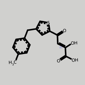 Cc1ccc(Cc2csc(C(=O)/C=C(\O)C(=O)O)c2)cc1